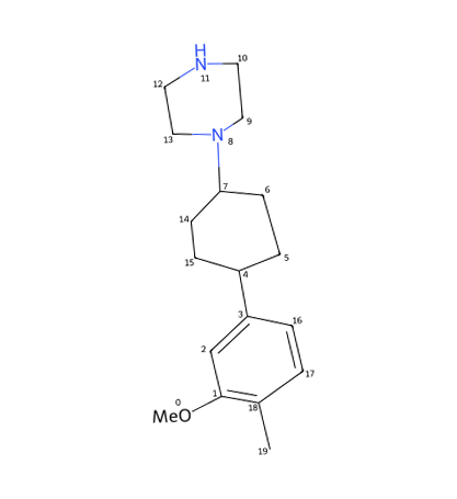 COc1cc(C2CCC(N3CCNCC3)CC2)ccc1C